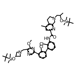 COc1nc(-c2cccc(-c3cccc(NC(=O)c4cc(C)c5c(n4)CN(CC(C)O[Si](C)(C)C(C)(C)C)CC5)c3Cl)c2Cl)cnc1CN1CC(O[Si](C)(C)C(C)(C)C)C1